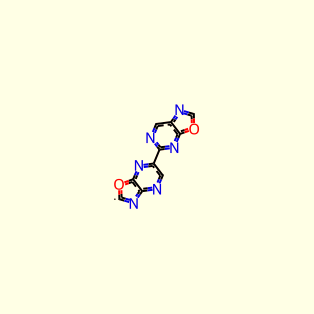 [c]1nc2ncc(-c3ncc4ncoc4n3)nc2o1